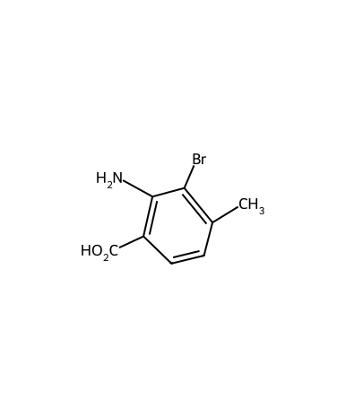 Cc1ccc(C(=O)O)c(N)c1Br